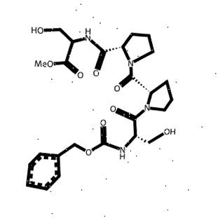 COC(=O)C(CO)NC(=O)[C@@H]1CCCN1C(=O)[C@@H]1CCCN1C(=O)[C@H](CO)NC(=O)OCc1ccccc1